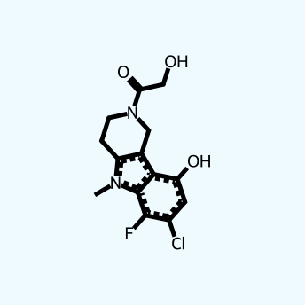 Cn1c2c(c3c(O)cc(Cl)c(F)c31)CN(C(=O)CO)CC2